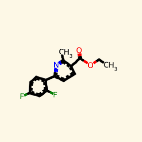 CCOC(=O)c1ccc(-c2ccc(F)cc2F)nc1C